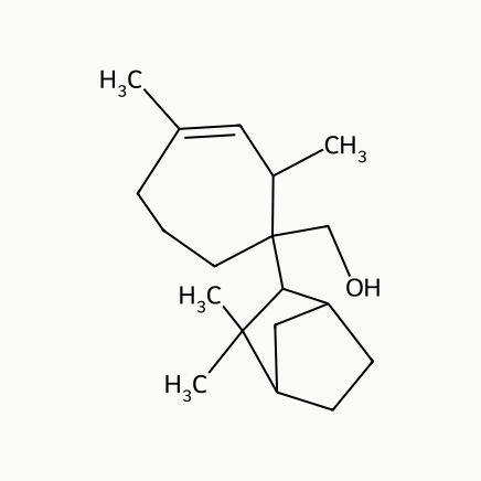 CC1=CC(C)C(CO)(C2C3CCC(C3)C2(C)C)CCC1